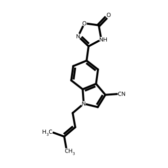 CC(C)=CCn1cc(C#N)c2cc(-c3noc(=O)[nH]3)ccc21